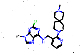 CC(C)n1cnc2c(NCc3cccnc3N3CCC4(CCN(C)CC4)CC3)nc(Cl)nc21